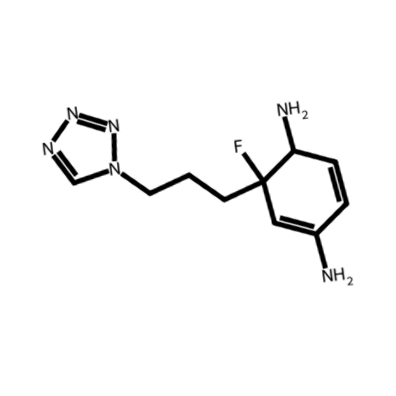 NC1=CC(F)(CCCn2cnnn2)C(N)C=C1